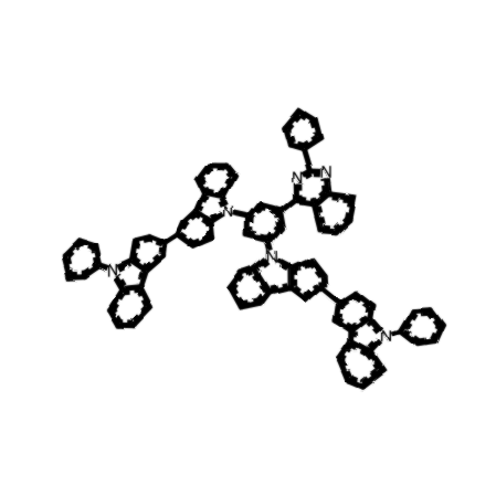 c1ccc(-c2nc(-c3cc(-n4c5ccccc5c5cc(-c6ccc7c(c6)c6ccccc6n7-c6ccccc6)ccc54)cc(-n4c5ccccc5c5cc(-c6ccc7c(c6)c6ccccc6n7-c6ccccc6)ccc54)c3)c3ccccc3n2)cc1